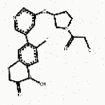 CCC(=O)N1CCC(Oc2cncc(-c3cc4c(cc3F)N(C)C(=O)CC4)c2)C1